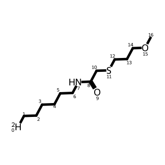 [2H]CCCCCCNC(=O)CSCCCOC